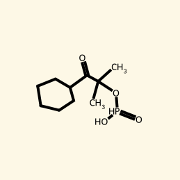 CC(C)(O[PH](=O)O)C(=O)C1CCCCC1